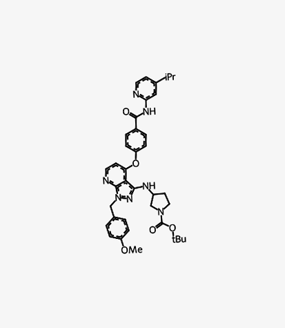 COc1ccc(Cn2nc(NC3CCN(C(=O)OC(C)(C)C)C3)c3c(Oc4ccc(C(=O)Nc5cc(C(C)C)ccn5)cc4)ccnc32)cc1